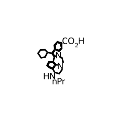 CCCNC1CCN2CCn3c(c(C4CCCCC4)c4ccc(C(=O)O)cc43)-c3cccc1c32